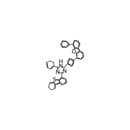 C1=CCCC(C2=NC(c3cccc4c5c(sc34)=CCCC=5)=NC(c3ccc(-c4cccc5c4oc4c(-c6ccccc6)cccc45)cc3)N2)=C1